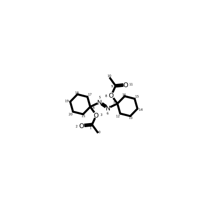 CC(=O)OC1(N=NC2(OC(C)=O)CCCCC2)CCCCC1